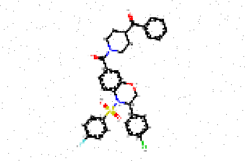 O=C(c1ccccc1)C1CCN(C(=O)c2ccc3c(c2)OCC(c2ccc(Cl)cc2)N3S(=O)(=O)c2ccc(F)cc2)CC1